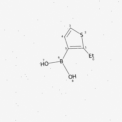 CCc1sccc1B(O)O